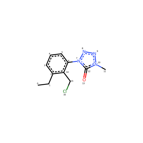 CCc1cccc(-n2nnn(C)c2=O)c1CCl